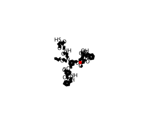 CCCCOCCN(CCCC(=O)NCCN1C(=O)CC(S)C1=O)c1cc(COc2cc3c(cc2OC)C(=O)N2c4ccccc4C[C@H]2CN3)cc(COc2cc3c(cc2OC)C(=O)N2c4ccccc4C[C@H]2C(S(=O)(=O)O)N3)c1